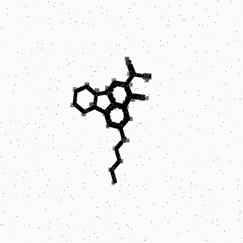 CCCCOc1cc2c3c(c1)c(=O)c(C(=O)O)cn3C1CCCCC21